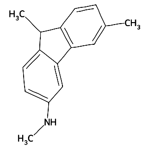 CNc1ccc2c(c1)-c1cc(C)ccc1C2C